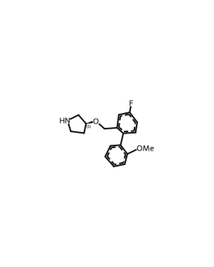 COc1ccccc1-c1ccc(F)cc1CO[C@H]1CCNC1